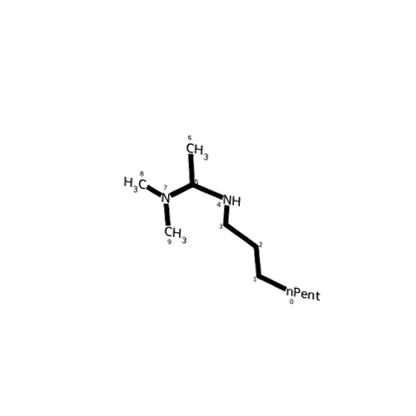 CCCCCCCCNC(C)N(C)C